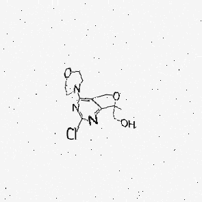 CC1(CO)OCc2c(N3CCOCC3)nc(Cl)nc21